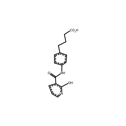 O=C(O)CCCc1ccc(NC(=O)c2cccnc2O)cc1